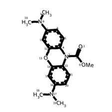 COC(=O)N1c2ccc(N(C)C)cc2Oc2cc(N(C)C)ccc21